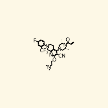 C=CC(=O)N1[C@H](C)CN(c2c(C#N)c(OCCN(C)C)nc3c2CCN(c2ccc(F)cc2C(F)(F)F)C3)C[C@@H]1C